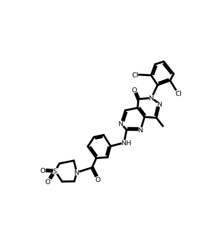 Cc1nn(-c2c(Cl)cccc2Cl)c(=O)c2cnc(Nc3cccc(C(=O)N4CCS(=O)(=O)CC4)c3)nc12